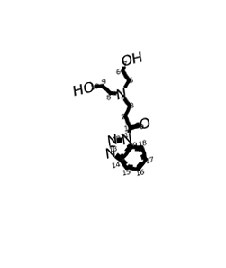 O=C(CCN(CCO)CCO)n1nnc2ccccc21